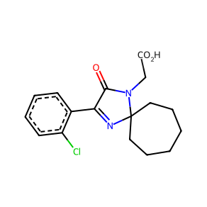 O=C(O)CN1C(=O)C(c2ccccc2Cl)=NC12CCCCCC2